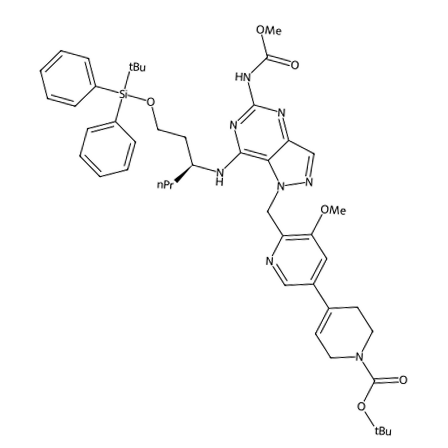 CCC[C@@H](CCO[Si](c1ccccc1)(c1ccccc1)C(C)(C)C)Nc1nc(NC(=O)OC)nc2cnn(Cc3ncc(C4=CCN(C(=O)OC(C)(C)C)CC4)cc3OC)c12